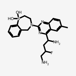 Cc1ccc2nc(N3CCS(O)(O)c4ccccc4C3)nc(C(N)CC(F)CN)c2c1